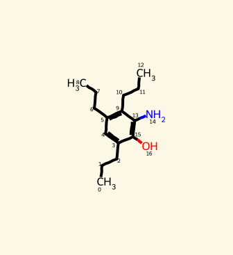 CCCc1cc(CCC)c(CCC)c(N)c1O